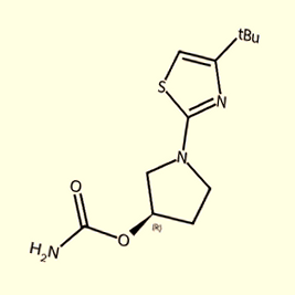 CC(C)(C)c1csc(N2CC[C@@H](OC(N)=O)C2)n1